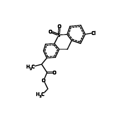 CCOC(=O)C(C)c1ccc2c(c1)Cc1cc(Cl)ccc1S2(=O)=O